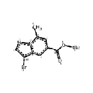 Cc1cc(C(=O)OC(C)(C)C)cc2c(Br)cnn12